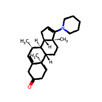 C[C@H]1C=C2CC(=O)CC[C@]2(C)[C@H]2CC[C@]3(C)C(N4CCCCC4)=CC[C@H]3[C@H]12